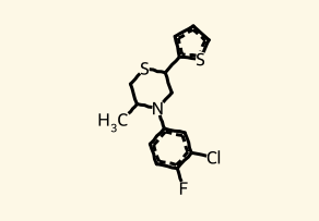 CC1CSC(c2cccs2)CN1c1ccc(F)c(Cl)c1